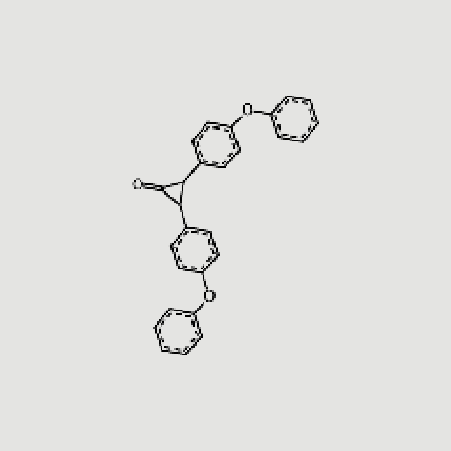 O=C1C(c2ccc(Oc3ccccc3)cc2)C1c1ccc(Oc2ccccc2)cc1